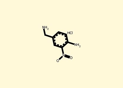 Cl.NCc1ccc(N)c([N+](=O)[O-])c1